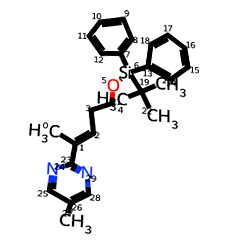 C/C(=C\CCO[Si](c1ccccc1)(c1ccccc1)C(C)(C)C)c1ncc(C)cn1